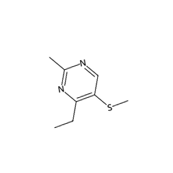 CCc1nc(C)ncc1SC